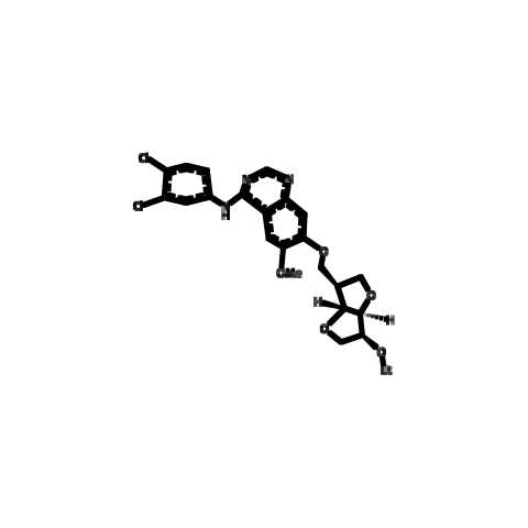 CCO[C@H]1CO[C@@H]2[C@@H](COc3cc4ncnc(Nc5ccc(Cl)c(Cl)c5)c4cc3OC)CO[C@H]21